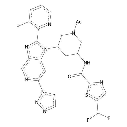 CC(=O)N1CC(NC(=O)c2ncc(C(F)F)s2)CC(n2c(-c3ncccc3F)nc3cnc(-n4ccnn4)cc32)C1